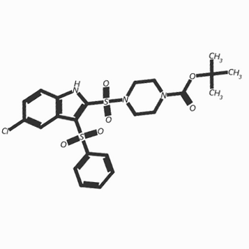 CC(C)(C)OC(=O)N1CCN(S(=O)(=O)c2[nH]c3ccc(Cl)cc3c2S(=O)(=O)c2ccccc2)CC1